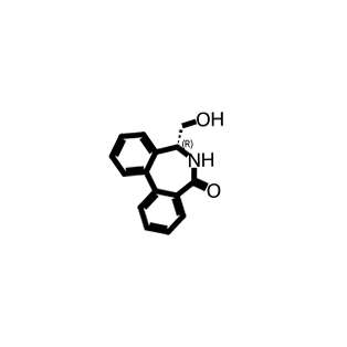 O=C1N[C@@H](CO)c2ccccc2-c2ccccc21